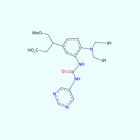 COCC(CC(=O)O)c1ccc(N(CC(C)C)CC(C)C)c(NC(=O)Nc2cncnc2)c1